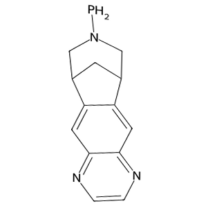 PN1CC2CC(C1)c1cc3nccnc3cc12